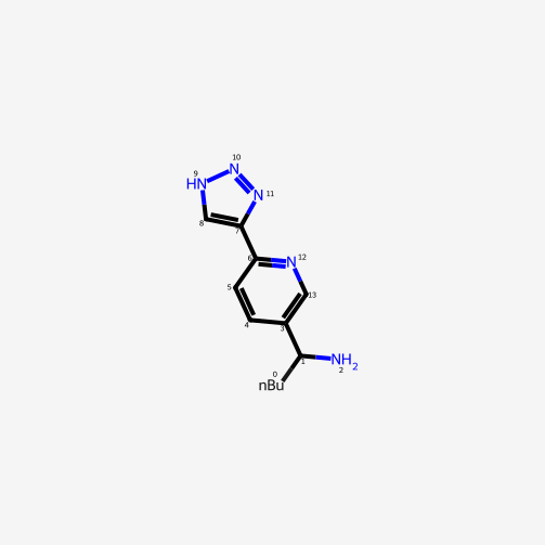 CCCCC(N)c1ccc(-c2c[nH]nn2)nc1